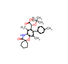 Cc1ccc(-c2c(C)c3c(c(C)c2[C@H](OC(C)(C)C)C(=O)O)NC(=O)C2(CCCCC2)O3)cc1